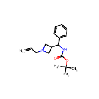 C=CCN1CC(C(NC(=O)OC(C)(C)C)c2ccccc2)C1